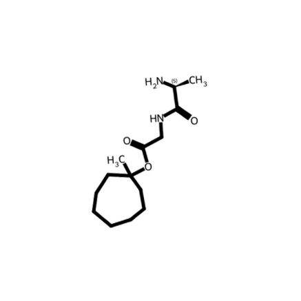 C[C@H](N)C(=O)NCC(=O)OC1(C)CCCCCCC1